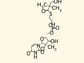 CC(C)(CO)C(=O)SCCO[PH](=O)OC[C@H]1O[C@@H](n2ccc(=O)[nH]c2=O)[C@](C)(Cl)[C@@H]1O